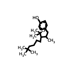 CC(Cc1ccc(O)cc1)C(CCCCC(C)(C)C)C(C)(C)C